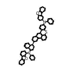 c1ccc(N(c2ccc3c(c2)Sc2cccc4c2c-3cc2ccc(-c3ccc(N(c5ccccc5)c5cccc6c5oc5ccccc56)c5ccccc35)cc24)c2ccc3oc4ccccc4c3c2)cc1